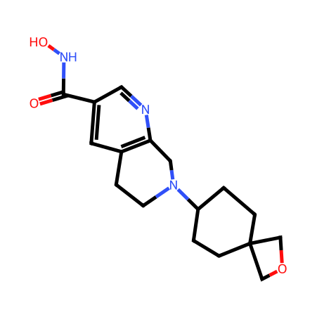 O=C(NO)c1cnc2c(c1)CCN(C1CCC3(CC1)COC3)C2